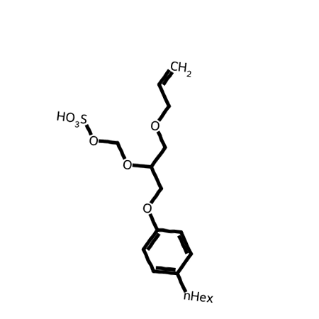 C=CCOCC(COc1ccc(CCCCCC)cc1)OCOS(=O)(=O)O